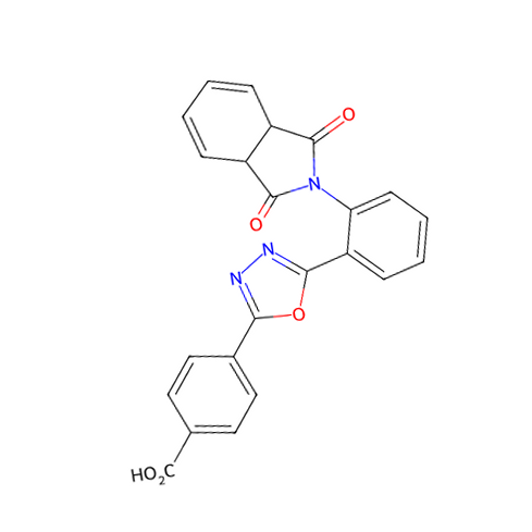 O=C(O)c1ccc(-c2nnc(-c3ccccc3N3C(=O)C4C=CC=CC4C3=O)o2)cc1